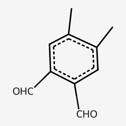 Cc1cc(C=O)c(C=O)cc1C